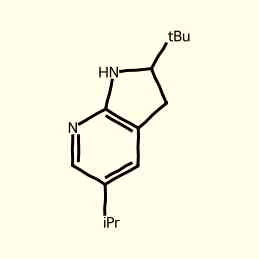 CC(C)c1cnc2c(c1)CC(C(C)(C)C)N2